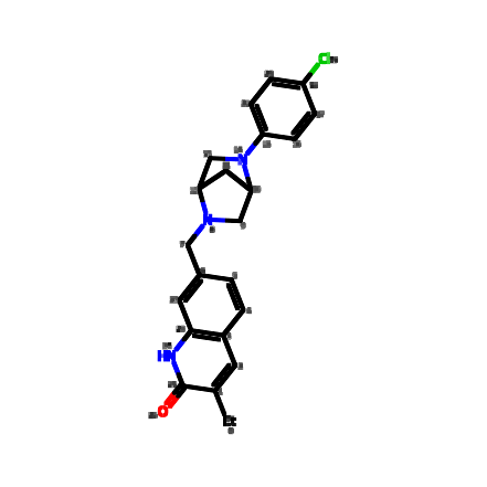 CCc1cc2ccc(CN3CC4CC3CN4c3ccc(Cl)cc3)cc2[nH]c1=O